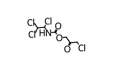 O=C(CCl)COC(=O)NC(Cl)C(Cl)Cl